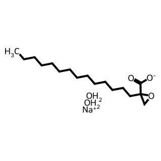 CCCCCCCCCCCCCCC1(C(=O)[O-])CO1.O.O.[Na+]